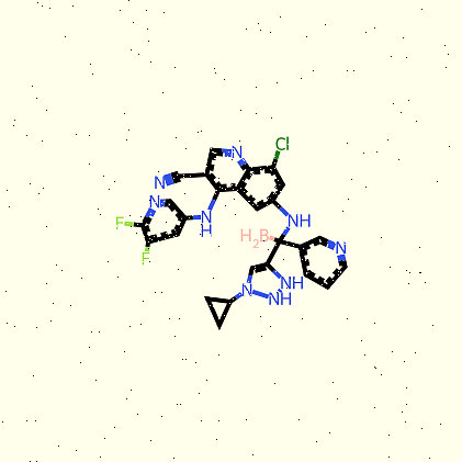 BC(Nc1cc(Cl)c2ncc(C#N)c(Nc3cnc(F)c(F)c3)c2c1)(C1=CN(C2CC2)NN1)c1cccnc1